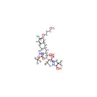 COCCCOc1cc(C[C@@H](C[C@H](NC(=O)OC(C)(C)C)[C@@H](O)C[C@H](C(=O)NCC2(CO)CC2)C(C)C)C(C)C)ccc1F